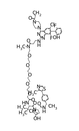 C=CC(=O)N1CCN(c2nc(NCCC(=O)N(C)CCOCCOCCOCCOCCOCC(=O)N[C@H](C(=O)N3C[C@H](O)C[C@H]3C(=O)N[C@@H](C)c3ccc(-c4scnc4C)cc3)C(C)(C)C)nc3c(F)c(-c4c(O)cccc4F)c(Cl)cc23)CC1